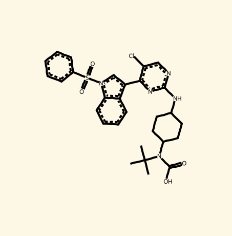 CC(C)(C)N(C(=O)O)C1CCC(Nc2ncc(Cl)c(-c3cn(S(=O)(=O)c4ccccc4)c4ccccc34)n2)CC1